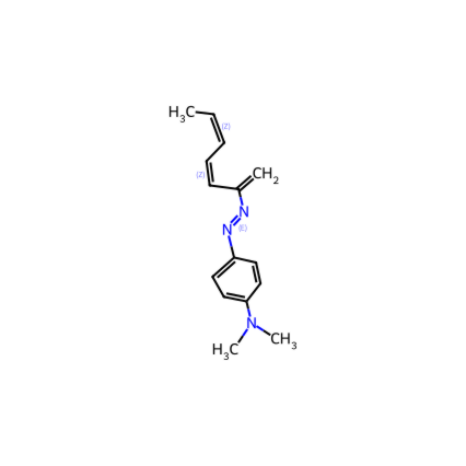 C=C(/C=C\C=C/C)/N=N/c1ccc(N(C)C)cc1